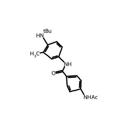 CC(=O)Nc1ccc(C(=O)Nc2ccc(NC(C)(C)C)c(C)c2)cc1